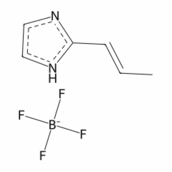 CC=Cc1ncc[nH]1.F[B-](F)(F)F